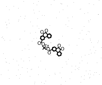 CCC(C)(COC(=O)c1ccc2c(c1)-c1ccccc1C(=O)C2=O)COC(=O)c1ccc2c(c1)-c1ccccc1C(=O)C2=O